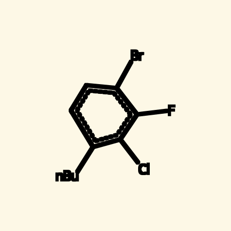 CCCCc1ccc(Br)c(F)c1Cl